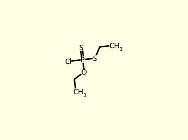 CCOP(=S)(Cl)SCC